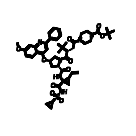 C=CC1CC1(NC(=O)[C@@H]1C[C@@H](Oc2cc(-c3ccccc3)nc3cc(OC)ccc23)CN1C(=O)[C@@H](CC(=O)N1CCN(C(=O)OC(C)(C)C)CC1)C(C)(C)C)C(=O)NS(=O)(=O)C1CC1